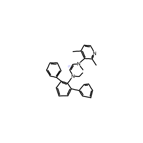 CCN(/C=C\N(C)c1c(C)ccnc1C)c1c(-c2ccccc2)cccc1-c1ccccc1